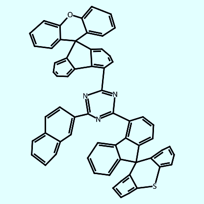 c1ccc2c(c1)Oc1ccccc1C21c2ccccc2-c2c(-c3nc(-c4ccc5ccccc5c4)nc(-c4cccc5c4-c4ccccc4C54c5ccccc5Sc5ccccc54)n3)cccc21